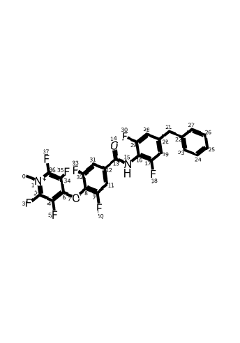 C[n+]1c(F)c(F)c(Oc2c(F)cc(C(=O)Nc3c(F)cc(Cc4ccccc4)cc3F)cc2F)c(F)c1F